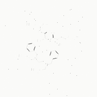 C[C@H](NC(=O)[C@H](C)NC(=O)[C@@H](N)CCC(=O)O)C(=O)O.O=C(O)CN(CCN(CC(=O)O)Cc1ccccc1)Cc1ccccc1